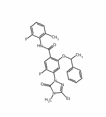 CCc1nn(-c2cc(OC(C)c3ccccc3)c(C(=O)Nc3c(C)cccc3F)cc2F)c(=O)n1C